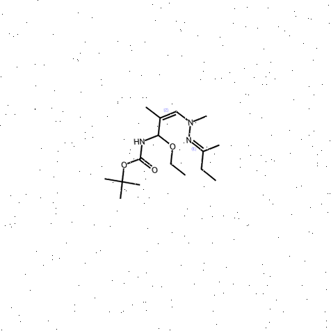 CCOC(NC(=O)OC(C)(C)C)/C(C)=C\N(C)/N=C(\C)CC